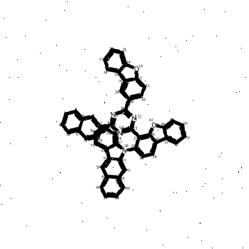 c1ccc2cc(-c3nc(-c4ccc5oc6ccccc6c5c4)nc(-c4c(-n5c6ccccc6c6cc7ccccc7cc65)ccc5c4oc4ccccc45)n3)ccc2c1